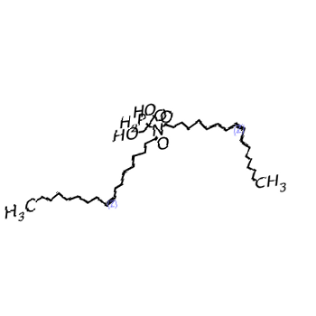 CCCCCCCC/C=C\CCCCCCCC(=O)N(C(=O)CCCCCCC/C=C\CCCCCCCC)C(P)(CO)C(=O)O